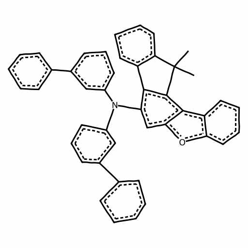 CC1(C)c2ccccc2-c2c(N(c3cccc(-c4ccccc4)c3)c3cccc(-c4ccccc4)c3)cc3oc4ccccc4c3c21